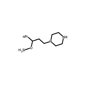 CCCC(CCN1CCNCC1)O[SiH3]